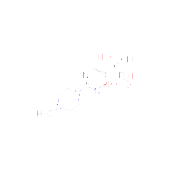 CN1CCN(c2ncc(C(C)(O)P(=O)(O)O)cn2)CC1